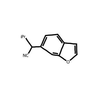 CC(C)C(C#N)c1ccc2ccoc2c1